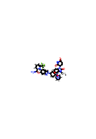 Cn1c(=O)n(C2CCC(=O)NC2=O)c2cccc(N3CC4CC(C3)N4CC3CCC(n4cc5cc(N6C(C(F)(F)F)=CC=CC6C(N)=O)ccc5n4)CC3)c21